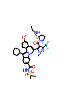 CCNC[C@@H]1CCCN1C(=O)c1c(C(F)(F)F)nn(C)c1C1=Cc2cc(OC)ccc2-c2c(C3CCCCC3)c3ccc(C(=O)NS(=O)(=O)C(C)C)cc3n2C1